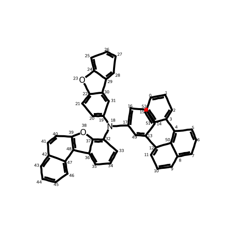 c1ccc(-c2cccc3cccc(-c4cccc(N(c5ccc6oc7ccccc7c6c5)c5cccc6c5oc5ccc7ccccc7c56)c4)c23)cc1